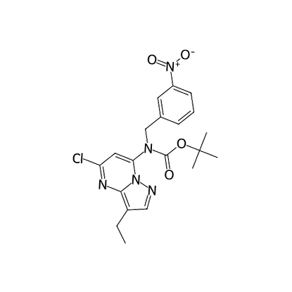 CCc1cnn2c(N(Cc3cccc([N+](=O)[O-])c3)C(=O)OC(C)(C)C)cc(Cl)nc12